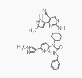 Cc1cc(-c2nc(N[C@H]3CC[C@H](N(C(=O)NCc4ccccc4)c4ccc(-c5cnn(C)c5)nn4)CC3)ncc2C#N)[nH]n1